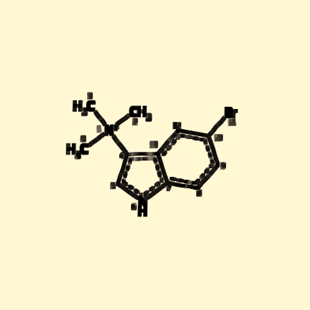 C[N+](C)(C)c1c[nH]c2ccc(Br)cc12